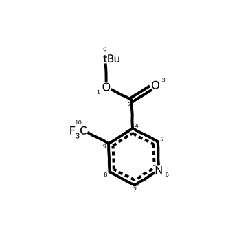 CC(C)(C)OC(=O)c1cn[c]cc1C(F)(F)F